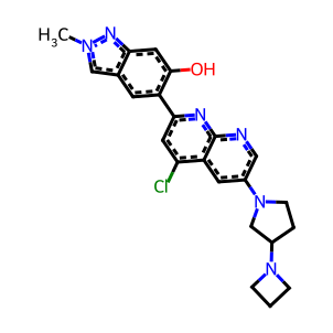 Cn1cc2cc(-c3cc(Cl)c4cc(N5CCC(N6CCC6)C5)cnc4n3)c(O)cc2n1